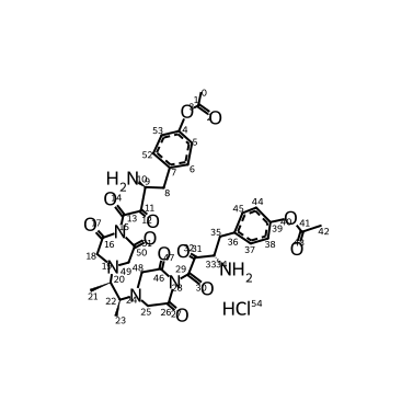 CC(=O)Oc1ccc(C[C@H](N)C(=O)C(=O)N2C(=O)CN([C@H](C)[C@H](C)N3CC(=O)N(C(=O)C(=O)[C@@H](N)Cc4ccc(OC(C)=O)cc4)C(=O)C3)CC2=O)cc1.Cl